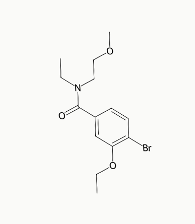 CCOc1cc(C(=O)N(CC)CCOC)ccc1Br